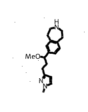 COC(CCc1ccn(C)n1)c1ccc2c(c1)CCNCC2